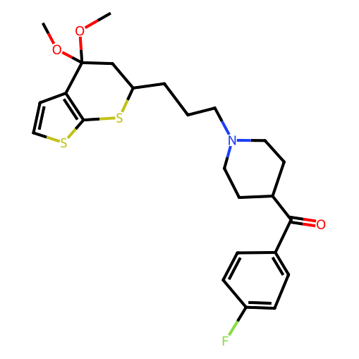 COC1(OC)CC(CCCN2CCC(C(=O)c3ccc(F)cc3)CC2)Sc2sccc21